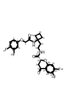 O=C(COc1ccc(F)c(F)c1)NC1(CCNC(=O)[C@H]2CC(=O)c3cc(F)c(F)cc3O2)CCC1